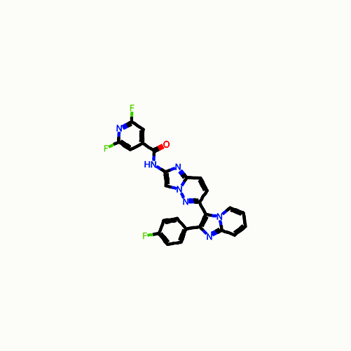 O=C(Nc1cn2nc(-c3c(-c4ccc(F)cc4)nc4ccccn34)ccc2n1)c1cc(F)nc(F)c1